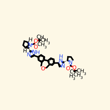 CC(C)(C)OC(=O)N1CCC[C@H]1c1ncc(-c2ccc3c(c2)COCc2cc(-c4cnc([C@@H]5[C@H]6CC[C@H](C6)N5C(=O)OC(C)(C)C)[nH]4)ccc2-3)[nH]1